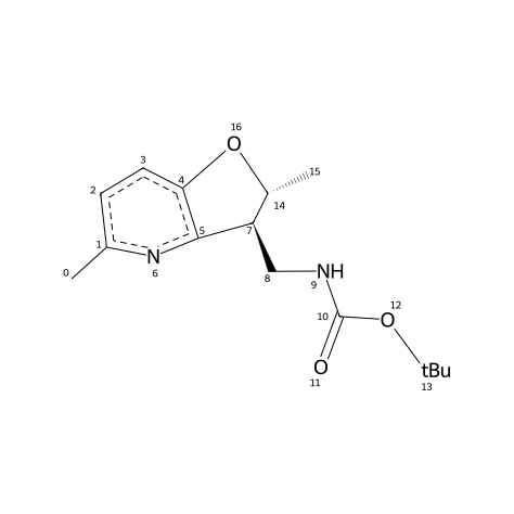 Cc1ccc2c(n1)[C@H](CNC(=O)OC(C)(C)C)[C@@H](C)O2